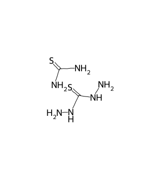 NC(N)=S.NNC(=S)NN